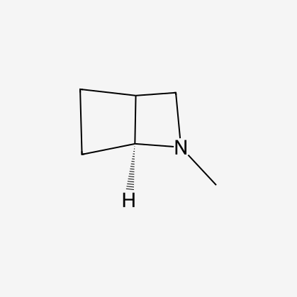 CN1CC2CC[C@@H]21